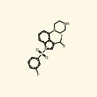 O=S(=O)(c1cccc(F)c1)n1cc(C(F)F)c2c(N3CCNCC3)cccc21